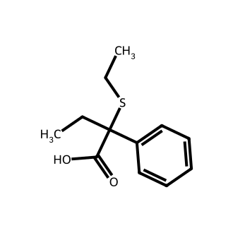 CCSC(CC)(C(=O)O)c1ccccc1